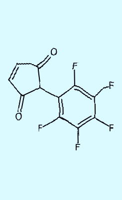 O=C1C=CC(=O)C1c1c(F)c(F)c(F)c(F)c1F